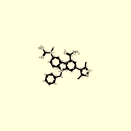 Cc1noc(C)c1-c1cc(C(N)=O)c2c3cc(N(C)C(=O)O)ccc3n(Cc3ccccc3)c2c1